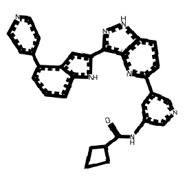 O=C(Nc1cncc(-c2ccc3[nH]nc(-c4cc5c(-c6ccncc6)cccc5[nH]4)c3n2)c1)C1CCC1